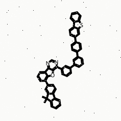 CC1(C)c2ccccc2-c2ccc(-c3cccc4c3oc3c(-c5cccc(-c6cccc(-c7ccc(-c8ccc9c(c8)sc8ccccc89)cc7)c6)c5)ncnc34)cc21